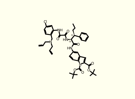 C=CCN(CC=C)Cc1ccc(Cl)cc1NC(=O)C(=O)N[C@H](C(=O)Nc1ccc2c(c1)cc(C(=O)OC(C)(C)C)n2C(=O)OC(C)(C)C)[C@@H](CCC)c1ccccc1